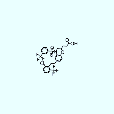 O=C(O)CCC1CN(S(=O)(=O)c2cccc(C(F)(F)F)c2)c2cc(C=Cc3c(Cl)cccc3C(F)(F)F)ccc2O1